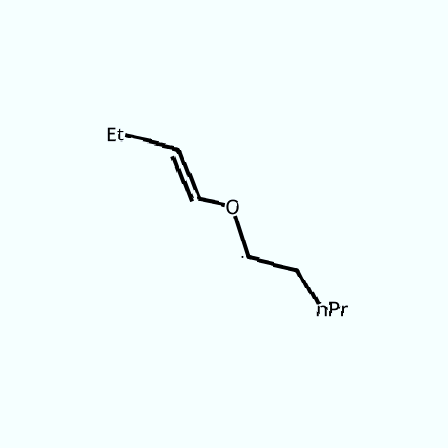 CC/C=C/O[CH]CCCC